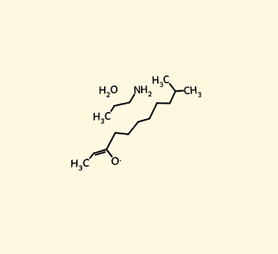 CC=C([O])CCCCCCC(C)C.CCCN.O